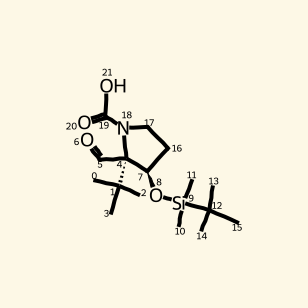 CC(C)(C)[C@@]1(C=O)[C@H](O[Si](C)(C)C(C)(C)C)CCN1C(=O)O